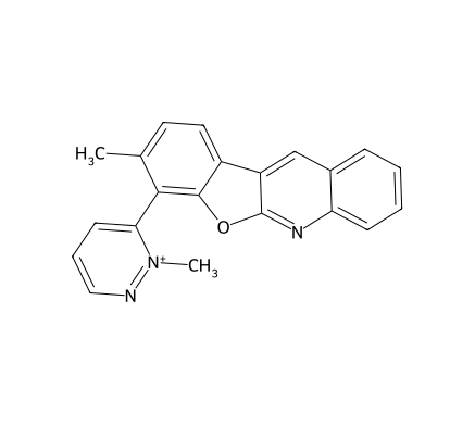 Cc1ccc2c(oc3nc4ccccc4cc32)c1-c1cccn[n+]1C